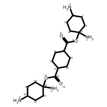 NC1CCC(N)(OC(=O)C2CCC(C(=O)OC3(N)CCC(N)CC3)CC2)CC1